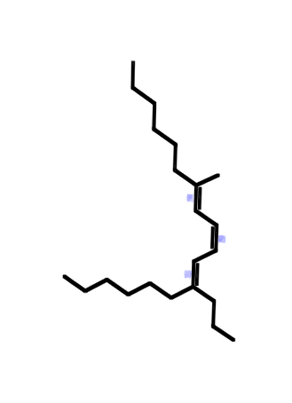 CCCCCC/C(C)=C/C=C\C=C(/CCC)CCCCCC